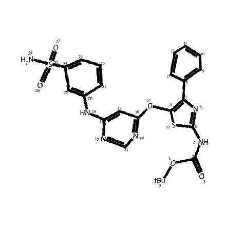 CC(C)(C)OC(=O)Nc1nc(-c2ccccc2)c(Oc2cc(Nc3cccc(S(N)(=O)=O)c3)ncn2)s1